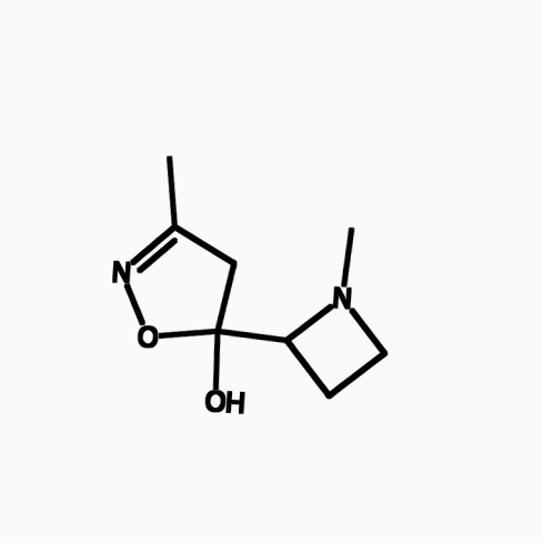 CC1=NOC(O)(C2CCN2C)C1